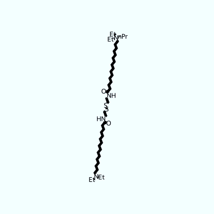 CCC[N+](CC)(CC)CCCCCCCCCCCCCCCC(=O)NCCSSCCNC(=O)CCCCCCCCCCCCCCCN(CC)CC